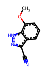 COc1cccc2c(C#N)n[nH]c12